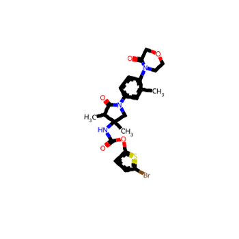 Cc1cc(N2CC(C)(NC(=O)Oc3ccc(Br)s3)C(C)C2=O)ccc1N1CCOCC1=O